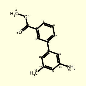 COC(=O)c1cccc(-c2cc(C)cc(N)c2)c1